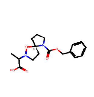 CC(C(=O)O)N1CC[C@]2(CCCN2C(=O)OCc2ccccc2)O1